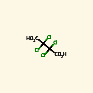 O=C(O)C(Cl)(Cl)C(Cl)(Cl)C(=O)O